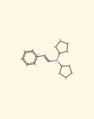 C(=C\P(C1CCCC1)C1CCCC1)/c1ccccc1